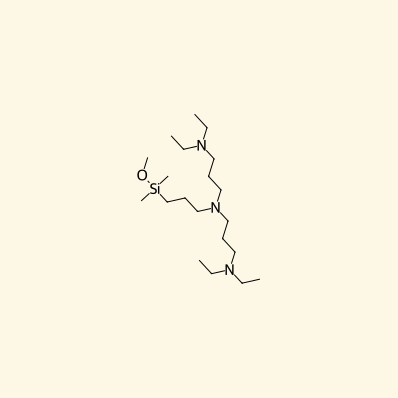 CCN(CC)CCCN(CCCN(CC)CC)CCC[Si](C)(C)OC